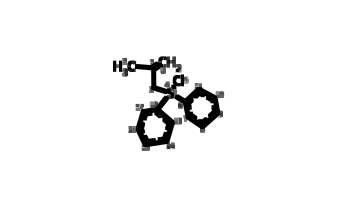 C=C(C)C[Si](Cl)(c1ccccc1)c1ccccc1